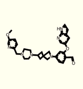 COc1ccc(CN2CCN(C3CC4(C3)CN(c3ccc(C=O)c(Oc5cnc6[nH]ccc6c5)c3)C4)CC2)nc1